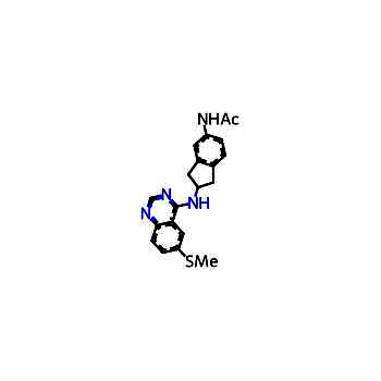 CSc1ccc2ncnc(NC3Cc4ccc(NC(C)=O)cc4C3)c2c1